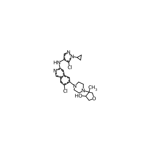 CC1(N2CCN(c3cc4cc(Nc5cnn(C6CC6)c5Cl)ncc4cc3Cl)CC2)COCC1O